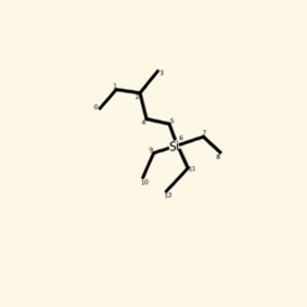 CC[C](C)CC[Si](CC)(CC)CC